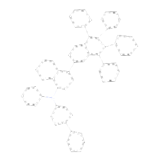 c1ccc(-c2ccc(N(c3ccccc3)c3ccc(-c4ccc5c(-c6ccccc6)c(-c6ccccc6)c(-c6ccccc6)c(-c6ccccc6)c5c4)c4ccccc34)cc2)cc1